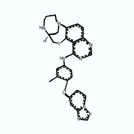 Cc1cc(Nc2ncnc3ccc4c(c23)OC[C@@H]2CN4CCN2)ccc1Oc1ccn2ncnc2c1